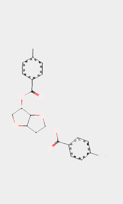 CC(=O)Oc1ccc(C(=O)O[C@@H]2CC3OC[C@@H](OC(=O)c4ccc(OC(C)=O)cc4)C3O2)cc1